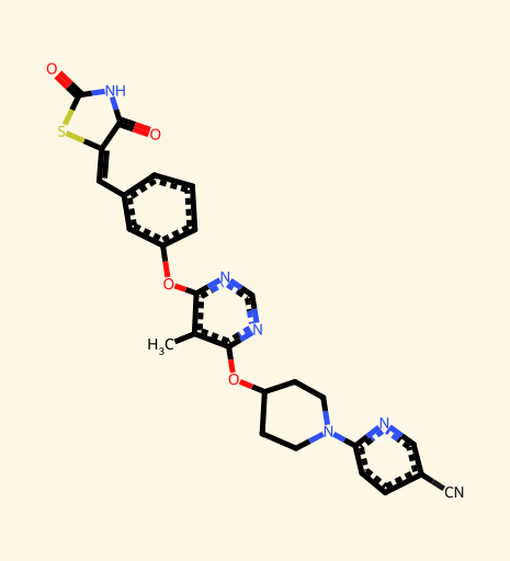 Cc1c(Oc2cccc(C=C3SC(=O)NC3=O)c2)ncnc1OC1CCN(c2ccc(C#N)cn2)CC1